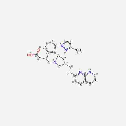 Cc1ccn(-c2cccc(C(CC(=O)O)CN3CCC(CCc4ccc5cccnc5n4)C3)c2)n1